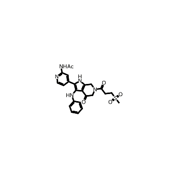 CC(=O)Nc1cc(-c2[nH]c3c(c2Nc2ccccc2)C(=O)CN(C(=O)CCS(C)(=O)=O)C3)ccn1